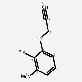 C#CCOc1cccc(NC)c1F